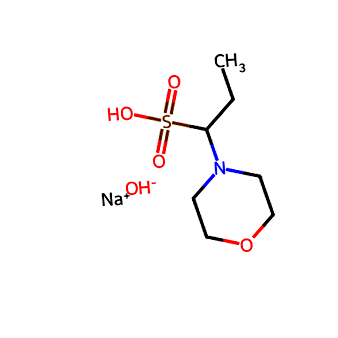 CCC(N1CCOCC1)S(=O)(=O)O.[Na+].[OH-]